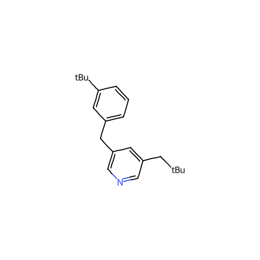 CC(C)(C)Cc1cncc(Cc2cccc(C(C)(C)C)c2)c1